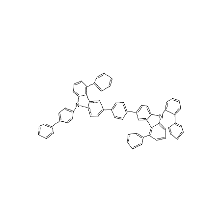 c1ccc(-c2ccc(-n3c4ccc(-c5ccc(-c6ccc7c(c6)c6c(-c8ccccc8)cccc6n7-c6ccccc6-c6ccccc6)cc5)cc4c4c(-c5ccccc5)cccc43)cc2)cc1